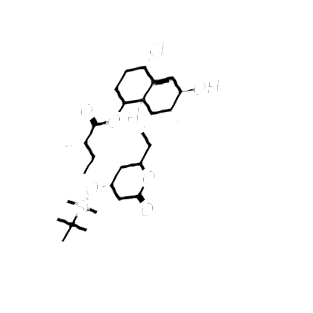 CC[C@H](C)C(=O)OC1CC[C@H](Cl)C2=C[C@@H](O)[C@H](C)[C@H](CCC3C[C@@H](O[Si](C)(C)C(C)(C)C)CC(=O)O3)[C@H]21